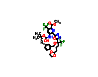 COC(=O)c1nc(-c2nnc(C(CCCC3OCCO3)(OCc3ccccc3)C(F)(F)F)o2)c(NC(O)OC(C)(C)C)cc1C(F)(F)F